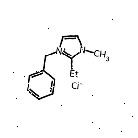 CCc1n(C)cc[n+]1Cc1ccccc1.[Cl-]